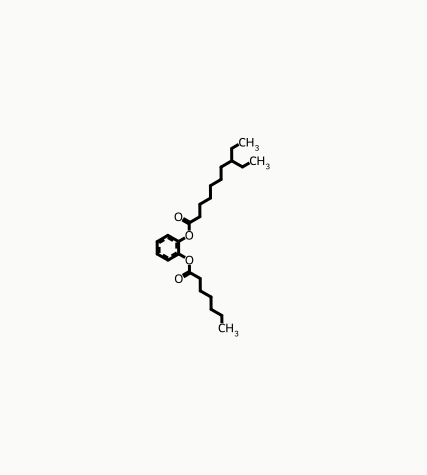 CCCCCCC(=O)Oc1ccccc1OC(=O)CCCCCCC(CC)CC